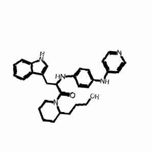 O=C(C(Cc1c[nH]c2ccccc12)Nc1ccc(Nc2ccncc2)cc1)N1CCCCC1CCCO